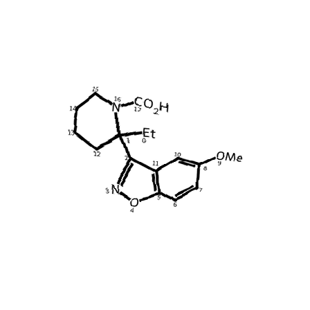 CCC1(c2noc3ccc(OC)cc23)CCCCN1C(=O)O